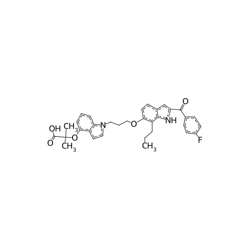 CCCc1c(OCCCn2ccc3c(OC(C)(C)C(=O)O)cccc32)ccc2cc(C(=O)c3ccc(F)cc3)[nH]c12